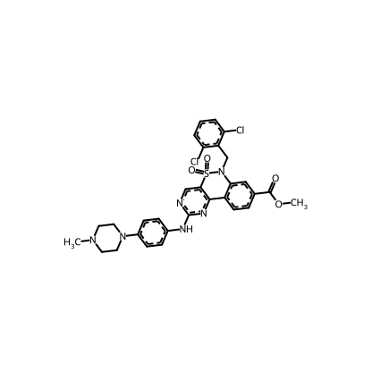 COC(=O)c1ccc2c(c1)N(Cc1c(Cl)cccc1Cl)S(=O)(=O)c1cnc(Nc3ccc(N4CCN(C)CC4)cc3)nc1-2